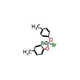 Cc1ccc([O][Zr]([Br])([Br])[O]c2ccc(C)cc2)cc1